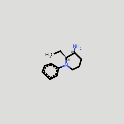 CC[C@H]1[C@@H](N)CCCN1c1ccccc1